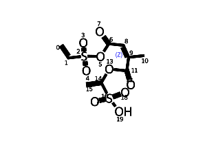 C=CS(=O)(=O)OC(=O)/C=C(/C)C(=O)OC(=C)S(=O)(=O)O